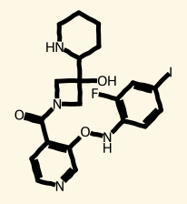 O=C(c1ccncc1ONc1ccc(I)cc1F)N1CC(O)(C2CCCCN2)C1